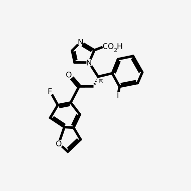 O=C(C[C@@H](c1ccccc1I)n1ccnc1C(=O)O)c1cc2ccoc2cc1F